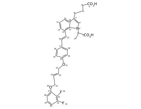 CC(C(=O)O)n1cc(CCCC(=O)O)c2cccc(C=Cc3ccc(OCC=CCOc4cccc(F)c4F)cc3)c21